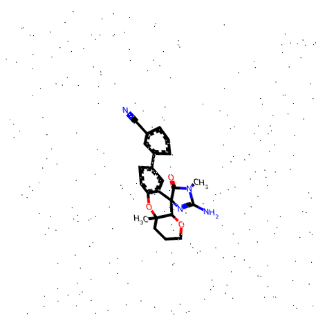 CN1C(=O)C2(N=C1N)c1cc(-c3cccc(C#N)c3)ccc1OC1(C)CCCOC12